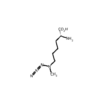 CN(CCCC[C@@H](N)C(=O)O)N=[N+]=[N-]